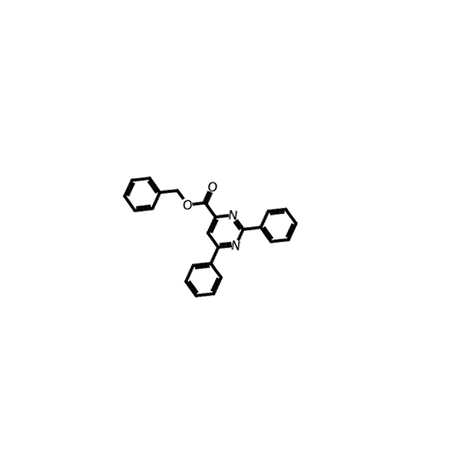 O=C(OCc1ccccc1)c1cc(-c2ccccc2)nc(-c2ccccc2)n1